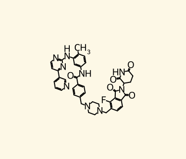 Cc1ccc(NC(=O)c2ccc(CN3CCN(Cc4ccc5c(c4F)C(=O)N(C4CCC(=O)NC4=O)C5=O)CC3)cc2)cc1Nc1nccc(-c2cccnc2)n1